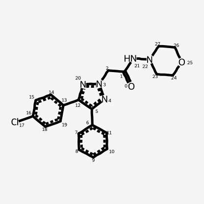 O=C(Cn1nc(-c2ccccc2)c(-c2ccc(Cl)cc2)n1)NN1CCOCC1